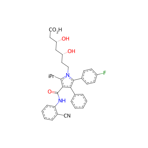 CC(C)c1c(C(=O)Nc2ccccc2C#N)c(-c2ccccc2)c(-c2ccc(F)cc2)n1CC[C@@H](O)C[C@@H](O)CC(=O)O